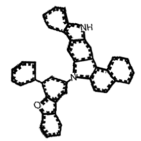 c1ccc(-c2cc(-n3c4cc5c(cc4c4c6ccccc6ccc43)[nH]c3ccccc35)cc3c2oc2ccccc23)cc1